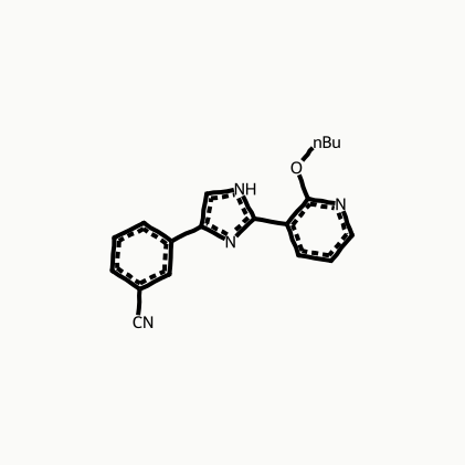 CCCCOc1ncccc1-c1nc(-c2cccc(C#N)c2)c[nH]1